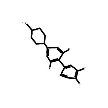 CCCC1CCC(c2cc(F)c(-c3ccc(F)c(F)c3)c(F)c2)CC1